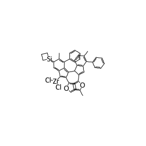 Cc1ccc(C2=Cc3c(ccc(C)c3-c3ccccc3)C2C2=c3c(cc(=[Si]4CCC4)c(C)c3-c3ccccc3)[C]([Zr]([Cl])[Cl])=C2c2ccco2)o1